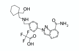 NC(=O)c1cccc2cn(-c3ccc(CNCC4(CO)CCCCC4)cc3)nc12.O=C(O)C(F)(F)F